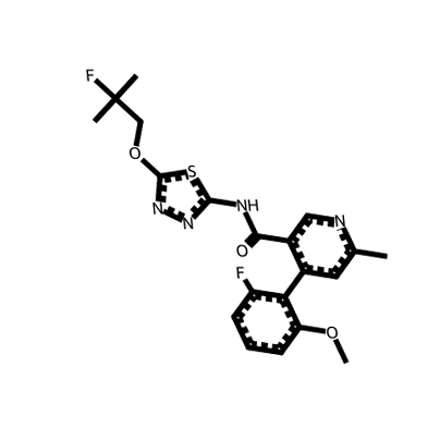 COc1cccc(F)c1-c1cc(C)ncc1C(=O)Nc1nnc(OCC(C)(C)F)s1